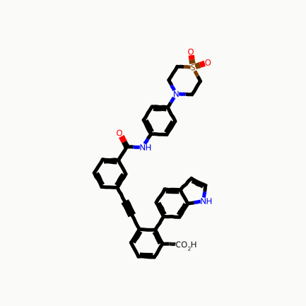 O=C(Nc1ccc(N2CCS(=O)(=O)CC2)cc1)c1cccc(C#Cc2cccc(C(=O)O)c2-c2ccc3cc[nH]c3c2)c1